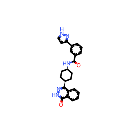 O=C(N[C@H]1CC[C@H](c2n[nH]c(=O)c3ccccc32)CC1)c1cccc(-c2cc[nH]n2)c1